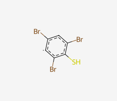 Sc1c(Br)[c]c(Br)cc1Br